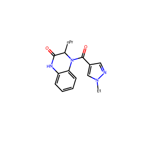 CCCC1C(=O)Nc2ccccc2N1C(=O)c1cnn(CC)c1